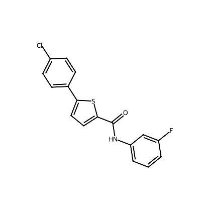 O=C(Nc1cccc(F)c1)c1ccc(-c2ccc(Cl)cc2)s1